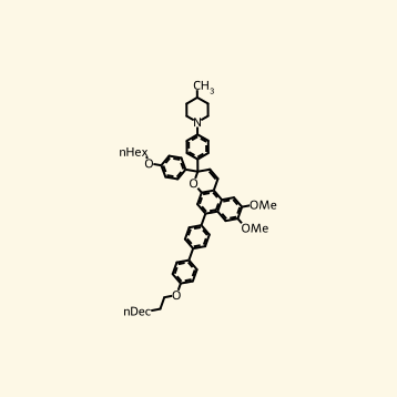 CCCCCCCCCCCCOc1ccc(-c2ccc(-c3cc4c(c5cc(OC)c(OC)cc35)C=CC(c3ccc(OCCCCCC)cc3)(c3ccc(N5CCC(C)CC5)cc3)O4)cc2)cc1